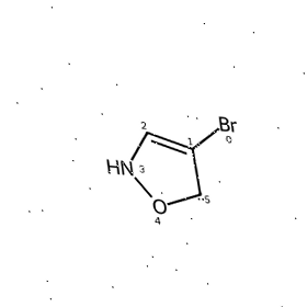 BrC1=CNO[C]1